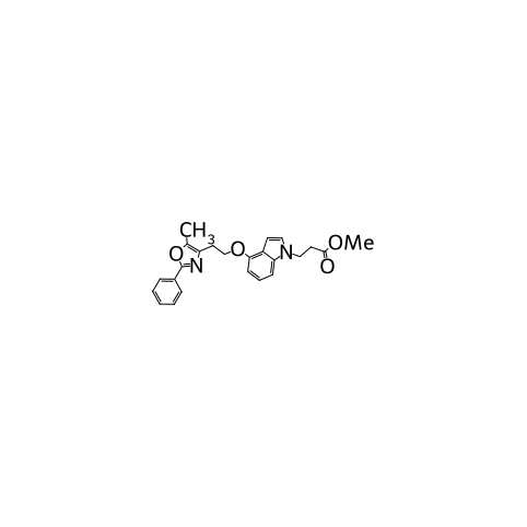 COC(=O)CCn1ccc2c(OCCc3nc(-c4ccccc4)oc3C)cccc21